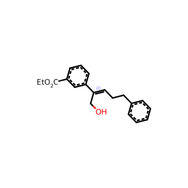 CCOC(=O)c1cccc(/C(=C/CCc2ccccc2)CO)c1